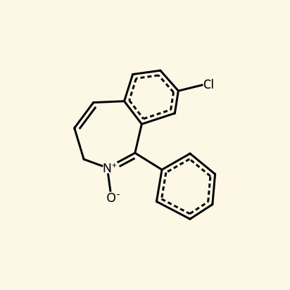 [O-][N+]1=C(c2ccccc2)c2cc(Cl)ccc2C=CC1